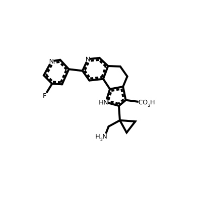 NCC1(c2[nH]c3c(c2C(=O)O)CCc2cnc(-c4cncc(F)c4)cc2-3)CC1